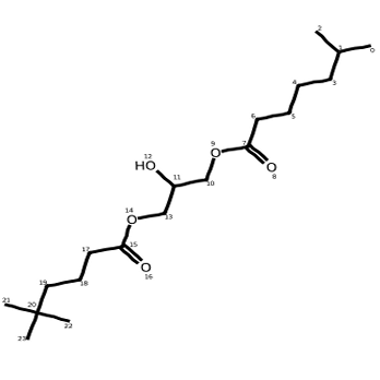 CC(C)CCCCC(=O)OCC(O)COC(=O)CCCC(C)(C)C